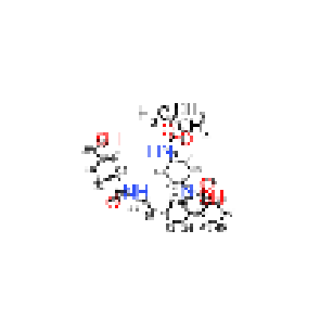 CC(C)(C)OC(=O)NC1CCC(N(C(=O)O)c2cc(CCCNC(=O)[C@H]3CC[C@H](CO)CC3)ccc2-c2ccccc2)CC1